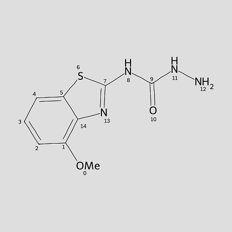 COc1cccc2sc(NC(=O)NN)nc12